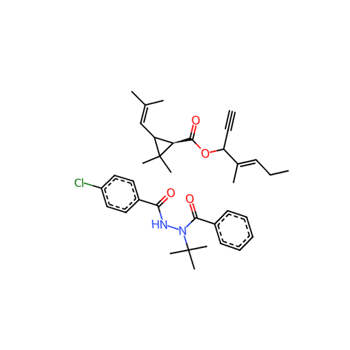 C#CC(OC(=O)[C@@H]1C(C=C(C)C)C1(C)C)/C(C)=C/CC.CC(C)(C)N(NC(=O)c1ccc(Cl)cc1)C(=O)c1ccccc1